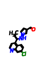 CCC(Nn1ccc(C=O)c1)c1ccnc2cc(Cl)ccc12